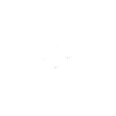 CNC(C(C)=O)C(C)N